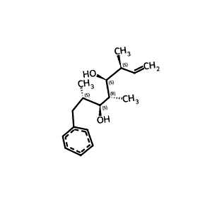 C=C[C@H](C)[C@H](O)[C@H](C)[C@@H](O)[C@@H](C)Cc1ccccc1